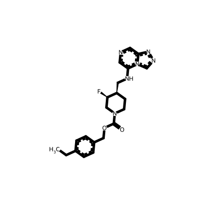 CCc1ccc(COC(=O)N2CC[C@H](CNc3cncc4nncn34)[C@H](F)C2)cc1